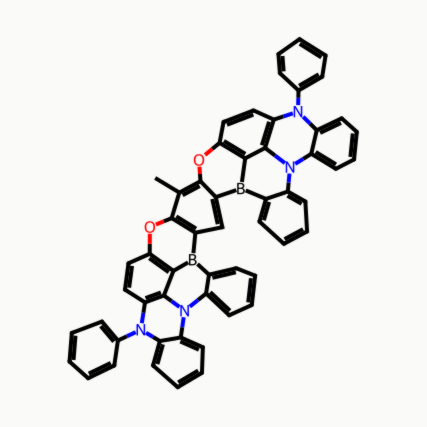 Cc1c2c(cc3c1Oc1ccc4c5c1B3c1ccccc1N5c1ccccc1N4c1ccccc1)B1c3ccccc3N3c4ccccc4N(c4ccccc4)c4ccc(c1c43)O2